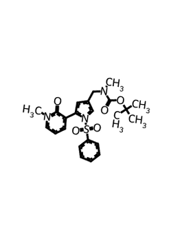 CN(Cc1cc(-c2cccn(C)c2=O)n(S(=O)(=O)c2ccccc2)c1)C(=O)OC(C)(C)C